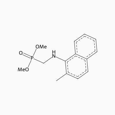 COP(=O)(CNc1c(C)ccc2ccccc12)OC